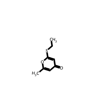 CCSc1cc(=O)cc(C)o1